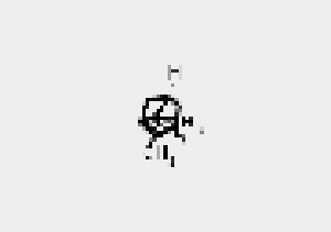 CC1=C2C[C@@H](CC1)C2(C)C